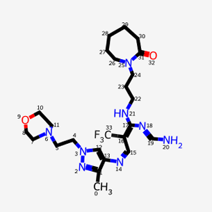 Cc1nn(CCN2CCOCC2)cc1\N=C/C(=C(\N=C\N)NCCCN1CCCCCC1=O)C(F)(F)F